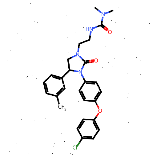 CN(C)C(=O)NCCN1CC(c2cccc(C(F)(F)F)c2)N(c2ccc(Oc3ccc(Cl)cc3)cc2)C1=O